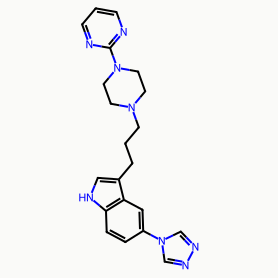 c1cnc(N2CCN(CCCc3c[nH]c4ccc(-n5cnnc5)cc34)CC2)nc1